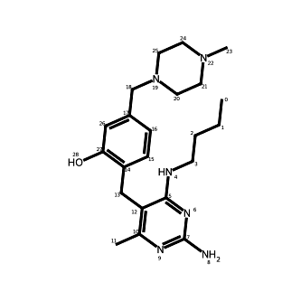 CCCCNc1nc(N)nc(C)c1Cc1ccc(CN2CCN(C)CC2)cc1O